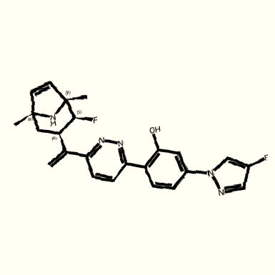 C=C(c1ccc(-c2ccc(-n3cc(F)cn3)cc2O)nn1)[C@H]1C[C@]2(C)C=C[C@@](C)(N2)[C@H]1F